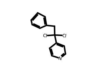 ClC(Cl)(Cc1ccccc1)c1ccncc1